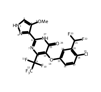 COc1c[nH]nc1-c1nc(C(F)(F)C(F)(F)F)c(Oc2ccc(Cl)c(C(F)F)c2)c(=O)[nH]1